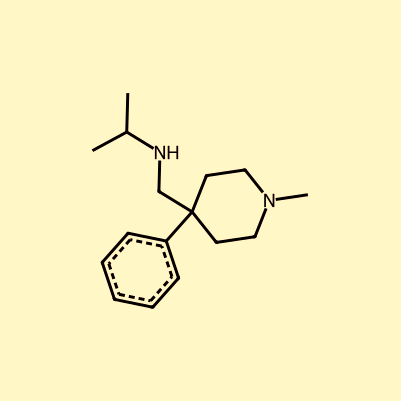 CC(C)NCC1(c2ccccc2)CCN(C)CC1